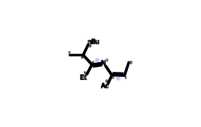 C/C=C(\N=C(/CC)C(C)CCCC)C(C)=O